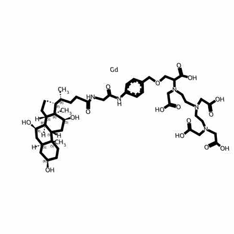 C[C@H](CCC(=O)NCC(=O)Nc1ccc(COCC(C(=O)O)N(CCN(CCN(CC(=O)O)CC(=O)O)CC(=O)O)CC(=O)O)cc1)[C@H]1CC[C@H]2[C@@H]3[C@H](O)C[C@@H]4C[C@H](O)CC[C@]4(C)[C@H]3C[C@H](O)[C@]12C.[Gd]